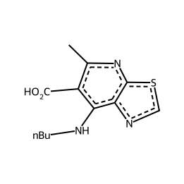 CCCCNc1c(C(=O)O)c(C)nc2scnc12